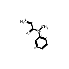 C=CC(=O)N(C)c1ccccc1